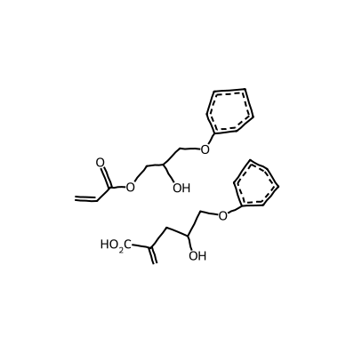 C=C(CC(O)COc1ccccc1)C(=O)O.C=CC(=O)OCC(O)COc1ccccc1